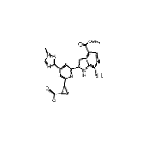 COC(=O)c1cnc(N)c2[nH]c(-c3cc(-c4ncn(C)n4)cc(C4CC4C(=O)Cl)n3)cc12